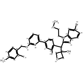 COCCn1c(C(c2ccc(-c3cccc(OCc4ccc(C)cc4F)n3)cc2F)C2(O)COC2)nc2ccc(Br)cc21